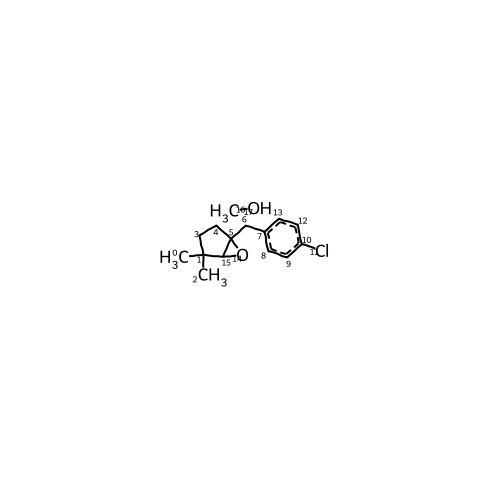 CC1(C)CCC2(Cc3ccc(Cl)cc3)OC12.CO